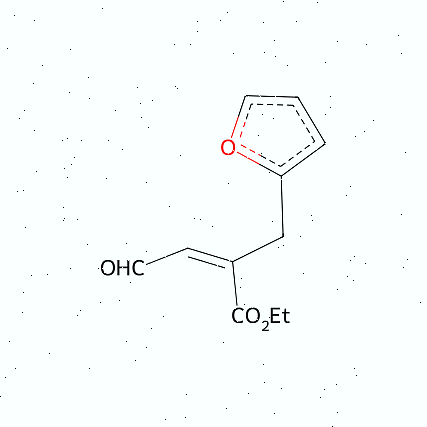 CCOC(=O)C(=CC=O)Cc1ccco1